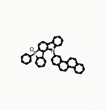 O=P1(c2ccccc2)c2ccccc2-c2c1ccc1c3ccccc3n(-c3ccc4ccc5c6ccccc6ccc5c4c3)c21